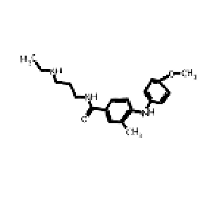 CCNCCCNC(=O)c1ccc(Nc2ccc(OC)cc2)c(C)c1